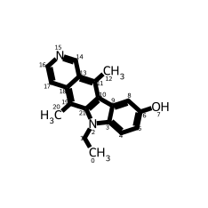 CCn1c2ccc(O)cc2c2c(C)c3cnccc3c(C)c21